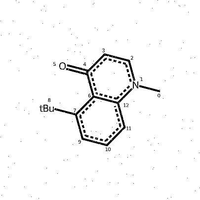 Cn1ccc(=O)c2c(C(C)(C)C)cccc21